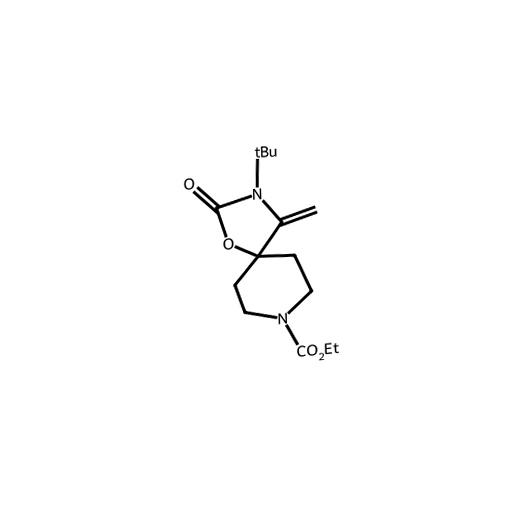 C=C1N(C(C)(C)C)C(=O)OC12CCN(C(=O)OCC)CC2